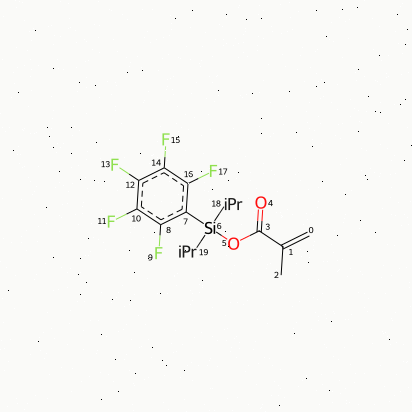 C=C(C)C(=O)O[Si](c1c(F)c(F)c(F)c(F)c1F)(C(C)C)C(C)C